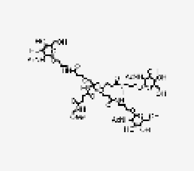 COCNC(=O)CCC(=O)NC(COCCC(=O)NCCCO[C@@H]1OC(CO)[C@H](O)[C@H](O)C1NC(C)=O)(COCCC(=O)NCCCO[C@@H]1OC(CO)[C@H](O)[C@H](O)C1NC(C)=O)COCCC(=O)NCCCO[C@@H]1OC(CO)[C@H](O)[C@H](O)C1NC(C)=O